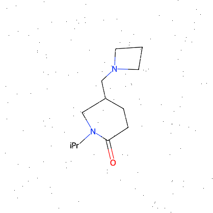 CC(C)N1CC(CN2CCC2)CCC1=O